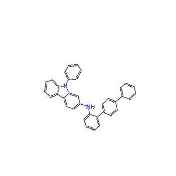 c1ccc(-c2ccc(-c3ccccc3Nc3ccc4c5ccccc5n(-c5ccccc5)c4c3)cc2)cc1